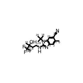 Cc1cc2nc(NCCC(C)(O)C(F)(F)F)n(C(C)(C)C)c2cc1C#N